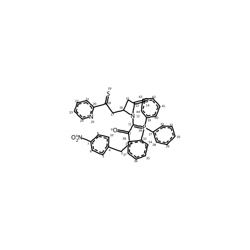 O=C(OCc1ccc([N+](=O)[O-])cc1)C(N1C(=O)CC1CC(=S)c1ccccn1)=P(c1ccccc1)(c1ccccc1)c1ccccc1